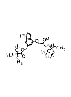 CCC(C)(NCC(O)COc1cc(COC(=O)C(C)(C)C)cc2[nH]ccc12)SC